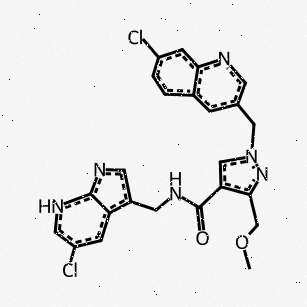 COCc1nn(Cc2cnc3cc(Cl)ccc3c2)cc1C(=O)NCc1cnc2[nH]cc(Cl)cc1-2